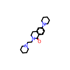 O=C1c2ccc(N3CCCCC3)cc2CCN1CCN1CCCCC1